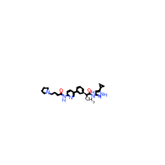 CC(C(=O)Nc1cc(C2CC2)[nH]n1)c1cccc(-c2ccc(NC(=O)C=CCN3CCCC3)nc2)c1